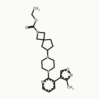 CCOC(=O)N1CC2(CCC(N3CCN(c4ncccc4-c4conc4C)CC3)C2)C1